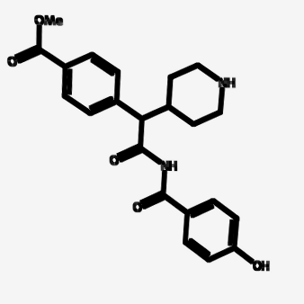 COC(=O)c1ccc(C(C(=O)NC(=O)c2ccc(O)cc2)C2CCNCC2)cc1